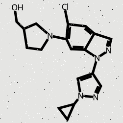 OCC1CCN(c2cc3c(cnn3-c3cnn(C4CC4)c3)cc2Cl)C1